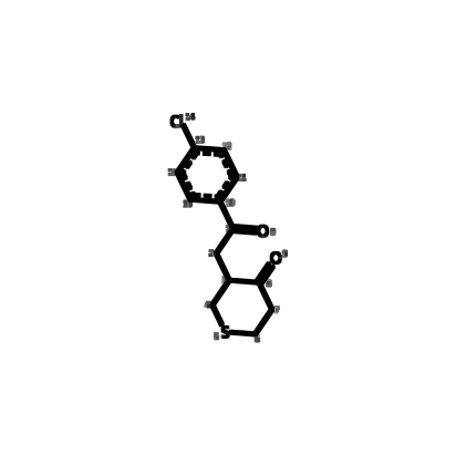 O=C(CC1CSCCC1=O)c1ccc(Cl)cc1